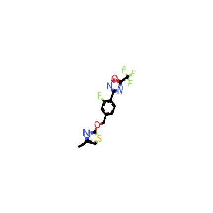 Cc1csc(OCc2ccc(-c3noc(C(F)(F)F)n3)c(F)c2)n1